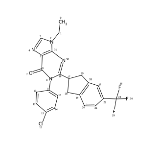 CCn1cnc2c(=O)n(-c3ccc(Cl)cc3)c(C3Cc4ccc(C(F)(F)F)cc4C3)nc21